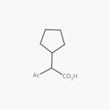 CC(=O)C(C(=O)O)C1CCCC1